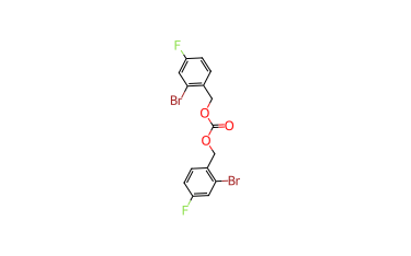 O=C(OCc1ccc(F)cc1Br)OCc1ccc(F)cc1Br